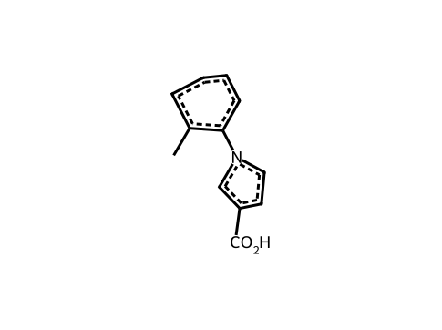 Cc1ccccc1-n1ccc(C(=O)O)c1